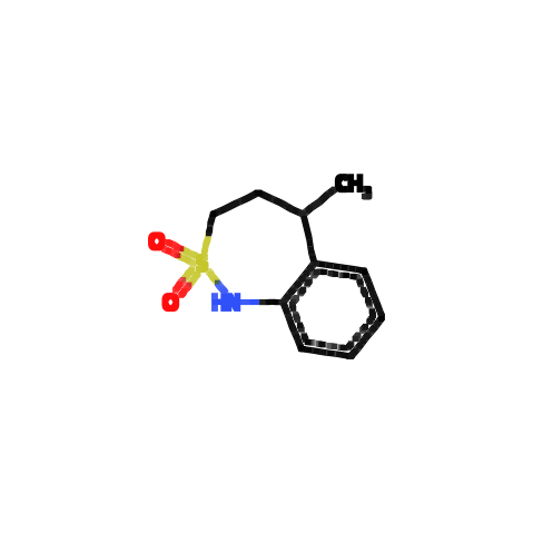 CC1CCS(=O)(=O)Nc2ccccc21